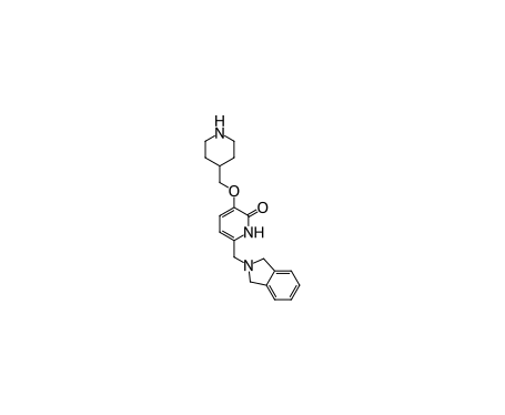 O=c1[nH]c(CN2Cc3ccccc3C2)ccc1OCC1CCNCC1